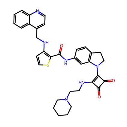 O=C(Nc1ccc2c(c1)N(c1c(NCCN3CCCCC3)c(=O)c1=O)CC2)c1sccc1NCc1ccnc2ccccc12